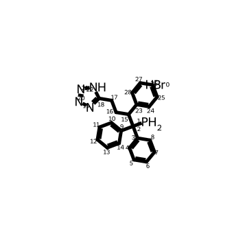 Br.PC(c1ccccc1)(c1ccccc1)C(CCc1nnn[nH]1)c1ccccc1